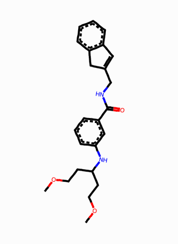 COCCC(CCOC)Nc1cccc(C(=O)NCC2=Cc3ccccc3C2)c1